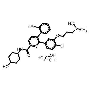 CCCc1ccccc1-c1ccc(C(=O)NC2CCC(O)CC2)nc1-c1ccc(Cl)c(OCCCN(C)C)c1.Cl.O=C(O)O